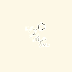 COC(=O)NSC(=S)N(C)c1ccccc1